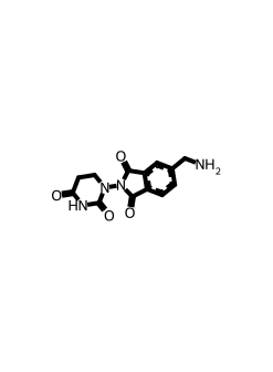 NCc1ccc2c(c1)C(=O)N(N1CCC(=O)NC1=O)C2=O